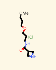 COCCCOCCCNC(=O)C1CNC1.Cl